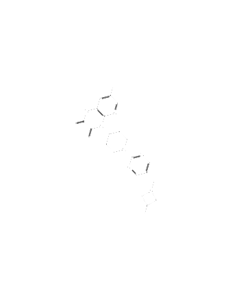 Cn1c(=O)c(=O)n(C2CCN(c3ncc(CN4CC(F)C4)cn3)CC2)c2ncc(Cl)cc21